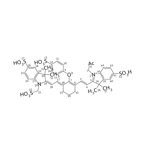 CC(=O)C[N+]1=C(/C=C/C2=C(Oc3ccc(S(=O)(=O)O)cc3)C(=C/C=C3/N(CS(=O)(=O)O)c4ccc(S(=O)(=O)O)cc4C3(C)C)/CCC2)C(C)(C)c2cc(S(=O)(=O)O)ccc21